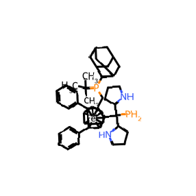 CC(C)(C)P(C[C]12[C]3(c4ccccc4)[C]4(c5ccccc5)[CH]5[C]1(C(P)(C1CCCN1)C1CCCN1)[Fe]54231678[CH]2[CH]1[CH]6[CH]7[CH]28)C1C2CC3CC(C2)CC1C3